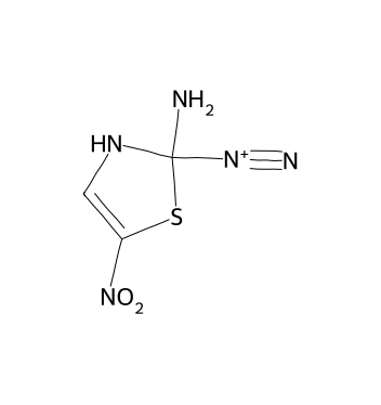 N#[N+]C1(N)NC=C([N+](=O)[O-])S1